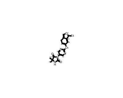 CCC1OC=C2CC=C(Oc3ncc(N4C(=O)NC(C)(C)C4=O)cn3)C=C21